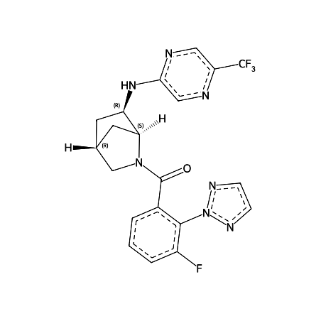 O=C(c1cccc(F)c1-n1nccn1)N1C[C@@H]2C[C@@H](Nc3cnc(C(F)(F)F)cn3)[C@@H]1C2